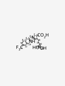 O=C(O)C1CN(CC2Cc3ccc(C(F)(F)F)cc3CN2)CC1CCCB(O)O